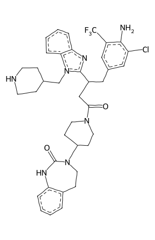 Nc1c(Cl)cc(CC(CC(=O)N2CCC(N3CCc4ccccc4NC3=O)CC2)c2nc3ccccc3n2CC2CCNCC2)cc1C(F)(F)F